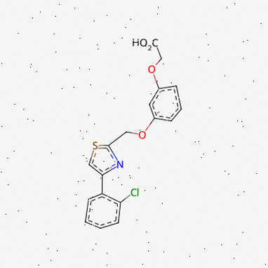 O=C(O)COc1cccc(OCc2nc(-c3ccccc3Cl)cs2)c1